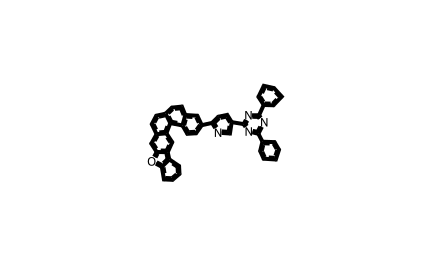 c1ccc(-c2nc(-c3ccccc3)nc(-c3ccc(-c4ccc5c(ccc6ccc7cc8oc9ccccc9c8cc7c65)c4)nc3)n2)cc1